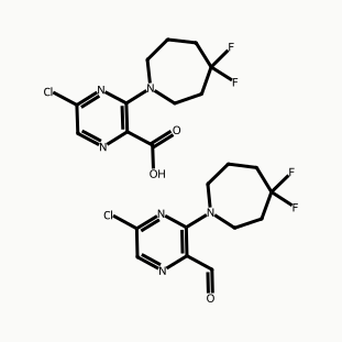 O=C(O)c1ncc(Cl)nc1N1CCCC(F)(F)CC1.O=Cc1ncc(Cl)nc1N1CCCC(F)(F)CC1